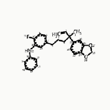 C=CC(C)(CCCc1ccc(F)c(Nc2ccccc2)c1)c1ccc2c(c1)OCO2